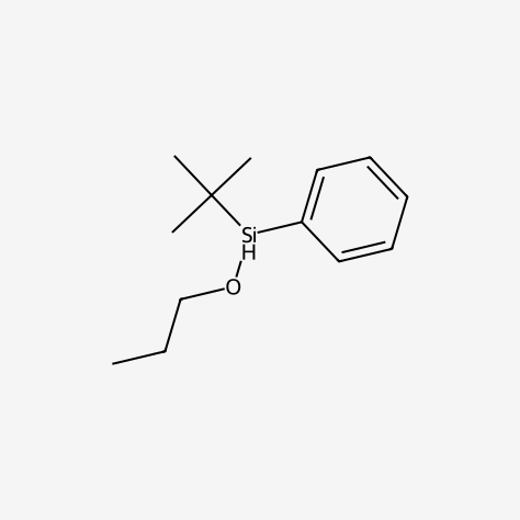 CCCO[SiH](c1ccccc1)C(C)(C)C